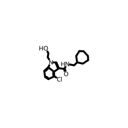 O=C(NCC1CCCCCC1)c1cn(CCO)c2cccc(Cl)c12